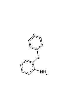 Nc1ccccc1Sc1ccncc1